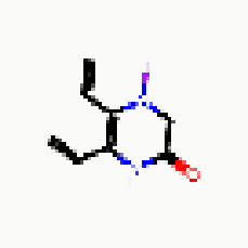 C=CC1=C(C=C)N(I)CC(=O)N1